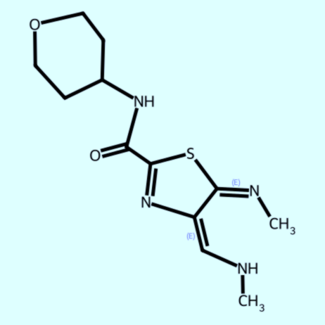 C/N=C1/SC(C(=O)NC2CCOCC2)=N/C1=C/NC